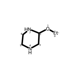 C[CH]OC1CNCCN1